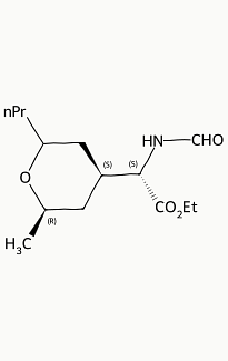 CCCC1C[C@@H]([C@H](NC=O)C(=O)OCC)C[C@@H](C)O1